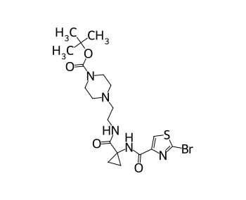 CC(C)(C)OC(=O)N1CCN(CCNC(=O)C2(NC(=O)c3csc(Br)n3)CC2)CC1